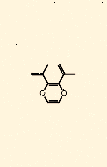 C=C(C)C1=C(C(=C)C)OC=CO1